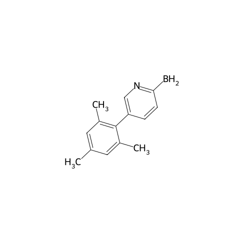 Bc1ccc(-c2c(C)cc(C)cc2C)cn1